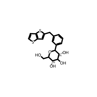 OCC1OC(c2cccc(Cc3cc4sccc4s3)c2)[C@H](O)C(O)[C@@H]1O